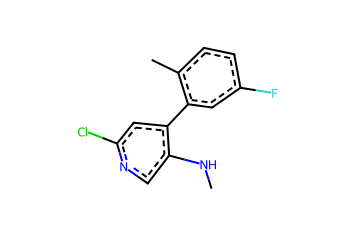 CNc1cnc(Cl)cc1-c1cc(F)ccc1C